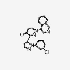 O=c1ccn(-c2cncc3ccccc23)nc1-c1ccnn1-c1cccc(Cl)c1